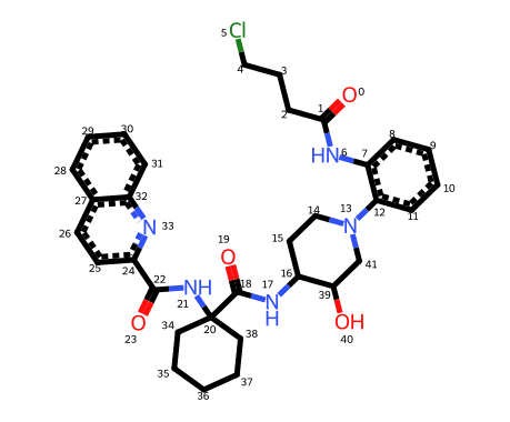 O=C(CCCCl)Nc1ccccc1N1CCC(NC(=O)C2(NC(=O)c3ccc4ccccc4n3)CCCCC2)C(O)C1